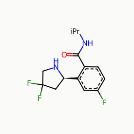 CC(C)NC(=O)c1ccc(F)cc1[C@H]1CC(F)(F)CN1